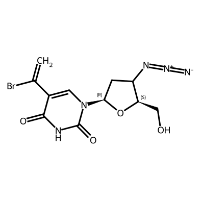 C=C(Br)c1cn([C@H]2CC(N=[N+]=[N-])[C@@H](CO)O2)c(=O)[nH]c1=O